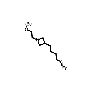 CC(C)OCCCCC1CN(CCOC(C)(C)C)C1